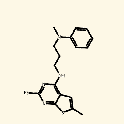 CCc1nc(NCCCN(C)c2ccccc2)c2cc(C)sc2n1